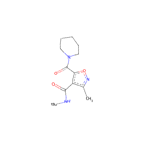 Cc1noc(C(=O)N2CCCCC2)c1C(=O)NC(C)(C)C